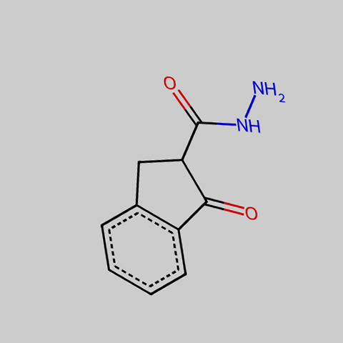 NNC(=O)C1Cc2ccccc2C1=O